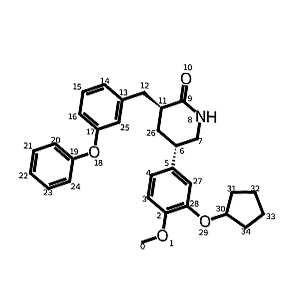 COc1ccc([C@H]2CNC(=O)[C@H](Cc3cccc(Oc4ccccc4)c3)C2)cc1OC1CCCC1